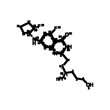 CCC[C@H](CCCO)SCc1nc2cc(N[C@@H]3CCC[C@@H]3F)cc(F)c2c(=O)[nH]1